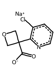 O=C([O-])C1(c2ncccc2Cl)COC1.[Na+]